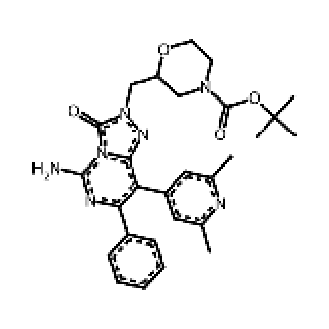 Cc1cc(-c2c(-c3ccccc3)nc(N)n3c(=O)n(CC4CN(C(=O)OC(C)(C)C)CCO4)nc23)cc(C)n1